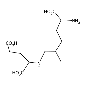 CC(CCC(N)C(=O)O)CNC(CCC(=O)O)C(=O)O